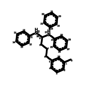 Cc1cccc(CCCC([SiH2]c2ccccc2)[SiH](c2ccccc2)c2ccccc2)c1